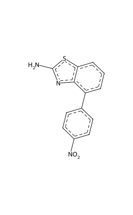 Nc1nc2c(-c3ccc([N+](=O)[O-])cc3)cccc2s1